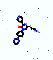 NCCCc1cn(-c2ccc(-c3ncccn3)cc2)c(=O)c(-c2ccncc2)n1